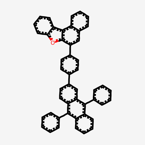 c1ccc(-c2c3ccccc3c(-c3ccccc3)c3cc(-c4ccc(-c5cc6ccccc6c6c5oc5ccccc56)cc4)ccc23)cc1